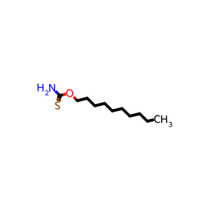 CCCCCCCCCCOC(N)=S